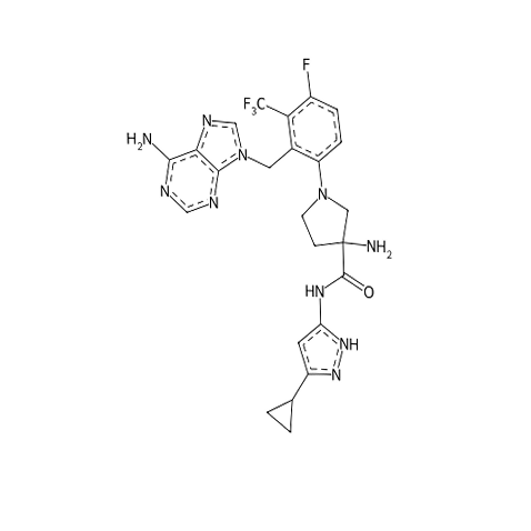 Nc1ncnc2c1ncn2Cc1c(N2CCC(N)(C(=O)Nc3cc(C4CC4)n[nH]3)C2)ccc(F)c1C(F)(F)F